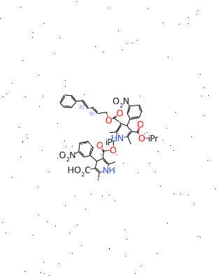 CC1=C(C(=O)O)C(c2cccc([N+](=O)[O-])c2)C(C(=O)OC(C)C)=C(C)N1.CC1=C(C(=O)OC/C=C/C=C/c2ccccc2)C(c2cccc([N+](=O)[O-])c2)C(C(=O)OC(C)C)=C(C)N1